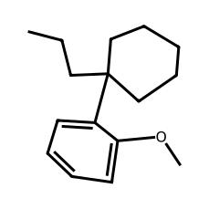 CCCC1(c2ccccc2OC)CCCCC1